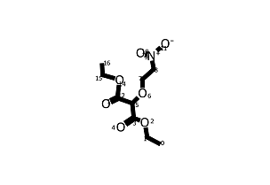 CCOC(=O)C(OCC[N+](=O)[O-])C(=O)OCC